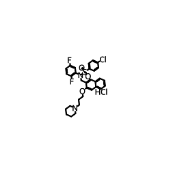 Cl.O=S(=O)(c1ccc(Cl)cc1)N(Cc1cc2ccccc2cc1OCCCN1CCCCC1)c1cc(F)ccc1F